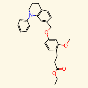 CCOC(=O)CCc1ccc(OCc2ccc3c(c2)N(c2ccccc2)CCC3)cc1OC